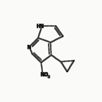 O=[N+]([O-])c1cnc2[nH]ccc2c1C1CC1